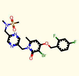 Cc1cc(OCc2ccc(F)cc2F)c(Br)c(=O)n1Cc1cnc(CN(C)S(C)(=O)=O)cn1